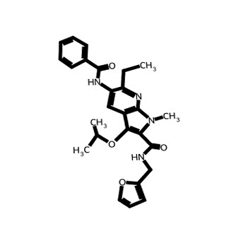 CCc1nc2c(cc1NC(=O)c1ccccc1)c(OC(C)C)c(C(=O)NCc1ccco1)n2C